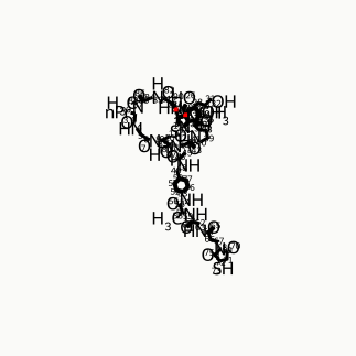 CCCC1C(=O)NCC(=O)N[C@H]2C[S+]([O-])c3[nH]c4ccccc4c3C[C@H](NC(=O)C(C[C@@H](O)CO)N(C)C(=O)[C@@H]3CCCN3C(=O)[C@H](CC(=O)NCc3ccc(NC(=O)[C@H](C)NC(=O)CNC(=O)CCN4C(=O)CC(S)C4=O)cc3)NC2=O)C(=O)NCC(=O)N1C